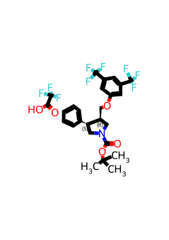 CC(C)(C)OC(=O)N1C[C@H](COc2cc(C(F)(F)F)cc(C(F)(F)F)c2)[C@@H](c2ccccc2)C1.O=C(O)C(F)(F)F